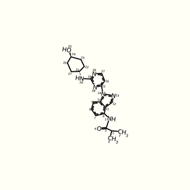 CC(C)C(=O)Nc1cccc2c1cnn2-c1ccnc(N[C@H]2CC[C@H](O)CC2)n1